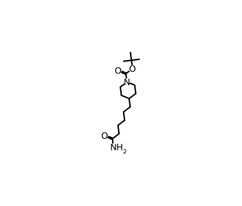 CC(C)(C)OC(=O)N1CCC(CCCCCC(N)=O)CC1